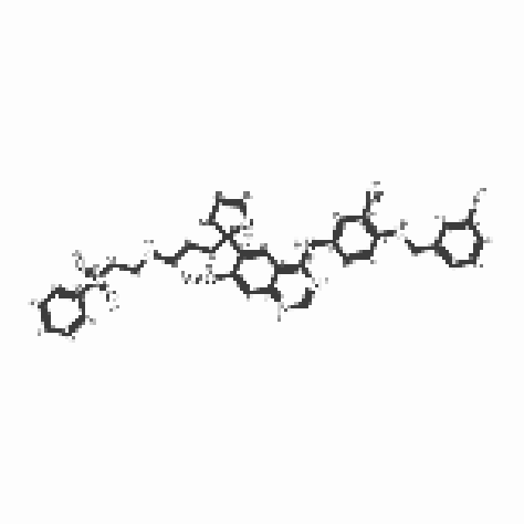 COc1cc2ncnc(Nc3ccc(OCc4cccc(F)c4)c(Br)c3)c2cc1C1(CCCOCCS(=O)(=O)c2ccccc2)CC=CO1